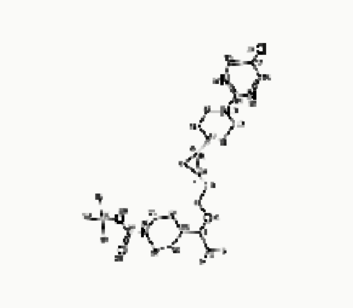 CC(C)C(OCC[C@@H]1C[C@@H]1C1CCN(c2ncc(Cl)cn2)CC1)C1CCN(C(=O)OC(C)(C)C)CC1